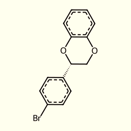 Brc1ccc([C@H]2COc3ccccc3O2)cc1